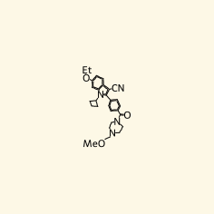 CCOc1ccc2c(C#N)c(-c3ccc(C(=O)N4CCN(CCOC)CC4)cc3)n(C3CCC3)c2c1